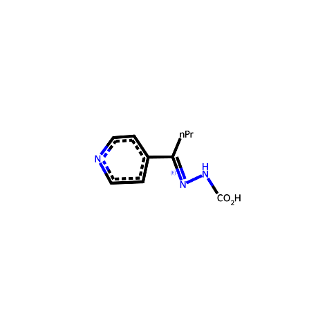 CCC/C(=N\NC(=O)O)c1ccncc1